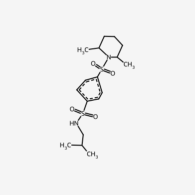 CC(C)CNS(=O)(=O)c1ccc(S(=O)(=O)N2C(C)CCCC2C)cc1